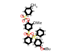 COc1cc(S(=O)(=O)OS(c2ccccc2)(c2ccccc2)c2ccc(OC(C)(C)C)cc2)ccc1OS(=O)(=O)c1ccc(C)cc1